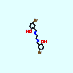 Oc1ccc(Br)cc1C=NCCN=Cc1cc(Br)ccc1O